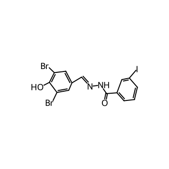 O=C(N/N=C/c1cc(Br)c(O)c(Br)c1)c1cccc(I)c1